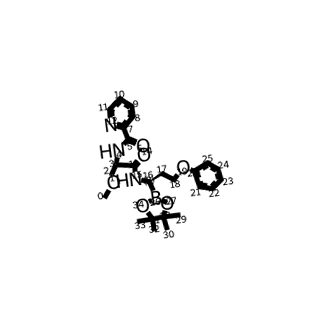 COCC(NC(=O)c1ccccn1)C(=O)N[C@@H](CCOc1ccccc1)B1OC(C)(C)C(C)(C)O1